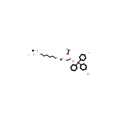 COc1ccc(C(OC[C@@H](CNC(=O)NCCCCCCO[Si](C)(C)C(C)(C)C)OC(=O)C(Cl)Cl)(c2ccccc2)c2ccc(OC)cc2)cc1